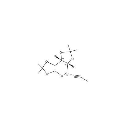 CC#C[C@@H]1OC2OC(C)(C)OC2[C@@H]2OC(C)(C)O[C@H]12